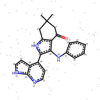 CC1(C)CC(=O)c2c([nH]c(-c3ccnc4[nH]ccc34)c2Nc2ccccc2)C1